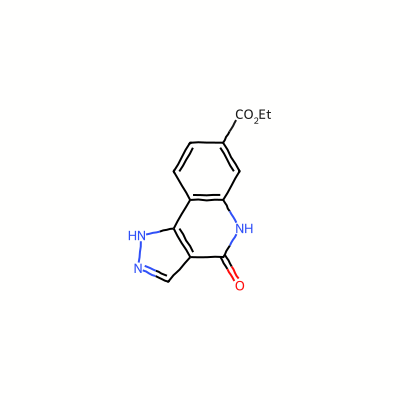 CCOC(=O)c1ccc2c(c1)[nH]c(=O)c1cn[nH]c12